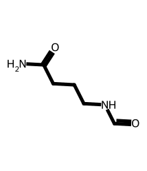 NC(=O)CCCNC=O